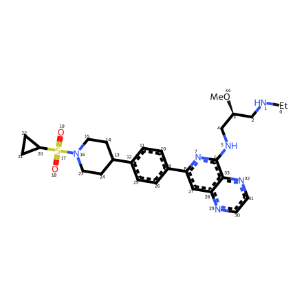 CCNC[C@@H](CNc1nc(-c2ccc(C3CCN(S(=O)(=O)C4CC4)CC3)cc2)cc2nccnc12)OC